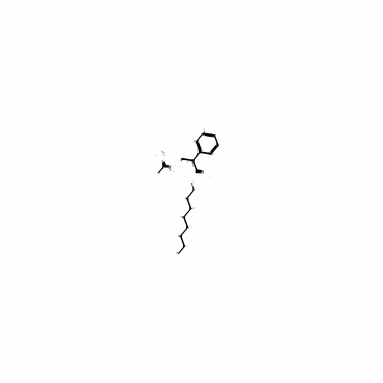 CCCCCCCCOC(=O)C(COC(C)=O)c1ccccc1